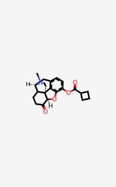 CN1CC[C@]23c4c5ccc(OC(=O)C6CCC6)c4O[C@H]2C(=O)CCC3[C@H]1C5